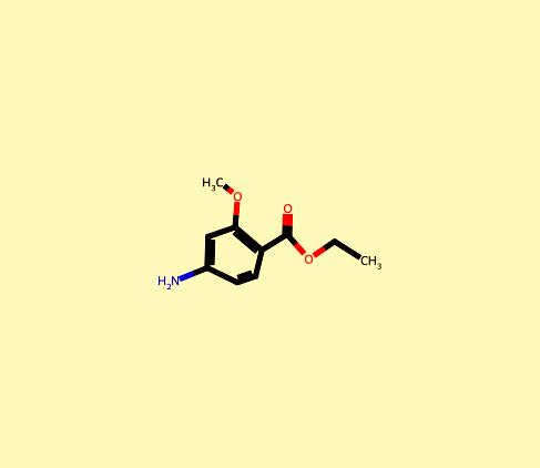 CCOC(=O)c1ccc(N)cc1OC